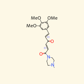 COc1cc(/C=C/C(=O)/C=C/C(=O)N2CCN(C)CC2)cc(OC)c1OC